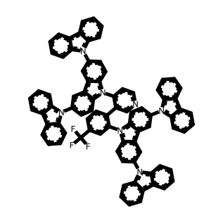 FC(F)(F)c1ccc(-c2cnccc2-n2c3ccc(-n4c5ccccc5c5ccccc54)cc3c3cc(-n4c5ccccc5c5ccccc54)ccc32)c(-n2c3ccc(-n4c5ccccc5c5ccccc54)cc3c3cc(-n4c5ccccc5c5ccccc54)ccc32)c1